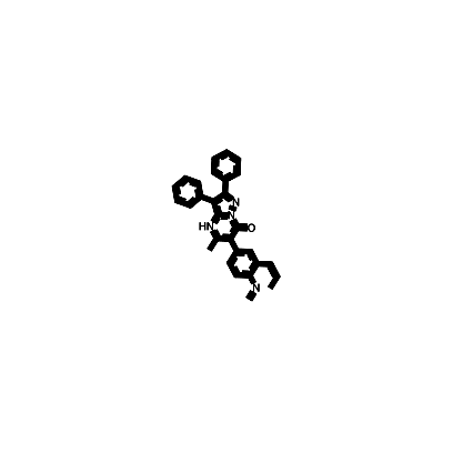 C=Nc1ccc(-c2c(C)[nH]c3c(-c4ccccc4)c(-c4ccccc4)nn3c2=O)cc1/C=C\C